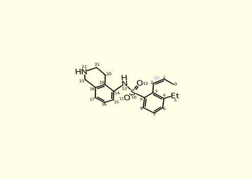 C/C=C\c1c(CC)cccc1S(=O)(=O)Nc1cccc2c1CCNC2